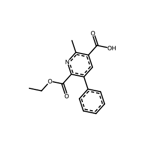 CCOC(=O)c1nc(C)c(C(=O)O)cc1-c1ccccc1